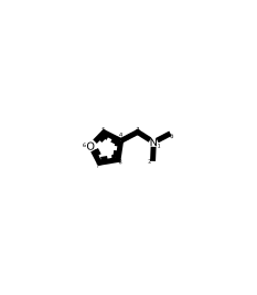 CN(C)Cc1[c]occ1